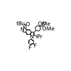 COC(=O)C1(OC)CCC(c2c(C(C)C)n(-c3ccc(F)c(F)c3)c3cc4cnn(C(=O)C(C)(C)C)c4cc23)CC1